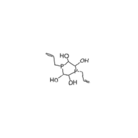 C=CCP1C(O)C(O)P(CC=C)C(O)C1O